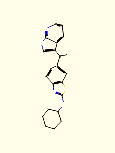 COC(c1ccc2nc(NC3CCCCC3)sc2c1)c1c[nH]c2ncccc12